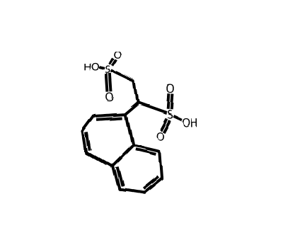 O=S(=O)(O)CC(c1cccc2ccccc12)S(=O)(=O)O